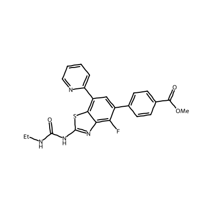 CCNC(=O)Nc1nc2c(F)c(-c3ccc(C(=O)OC)cc3)cc(-c3ccccn3)c2s1